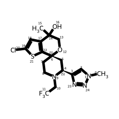 Cn1cc([C@@H]2C[C@]3(CCN2CC(F)(F)F)OCC(C)(O)c2cc(Cl)sc23)nn1